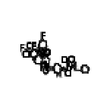 C[C@@H]1C[C@H](C(=O)N2CC[C@@]3(S(=O)(=O)c4ccc(F)cc4)c4ccc(C(F)(C(F)(F)F)C(F)(F)F)cc4CC[C@@H]23)CC[C@H]1C(=O)N1C(=O)OC[C@H]1Cc1ccccc1